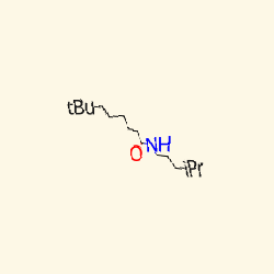 CC(C)CCCNC(=O)CCCCCC(C)(C)C